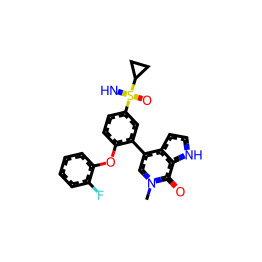 Cn1cc(-c2cc(S(=N)(=O)C3CC3)ccc2Oc2ccccc2F)c2cc[nH]c2c1=O